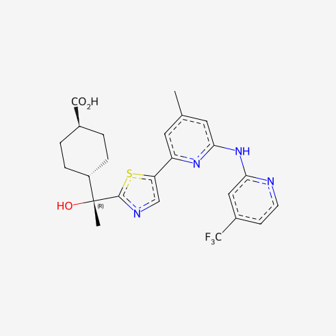 Cc1cc(Nc2cc(C(F)(F)F)ccn2)nc(-c2cnc([C@](C)(O)[C@H]3CC[C@H](C(=O)O)CC3)s2)c1